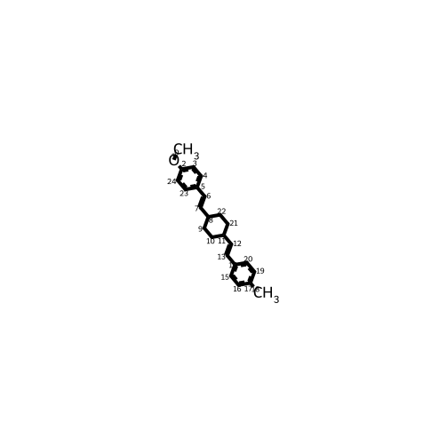 COc1ccc(/C=C/C2CCC(/C=C/c3ccc(C)cc3)CC2)cc1